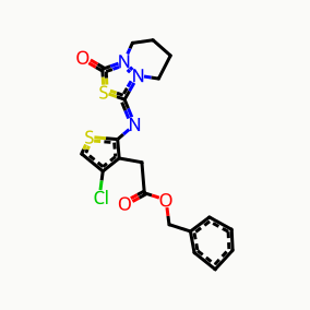 O=C(Cc1c(Cl)csc1N=c1sc(=O)n2n1CCCC2)OCc1ccccc1